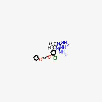 CC1(C)N=C(N)NC(N)=[N+]1c1ccc(OCCCOc2ccccc2)c(Cl)c1